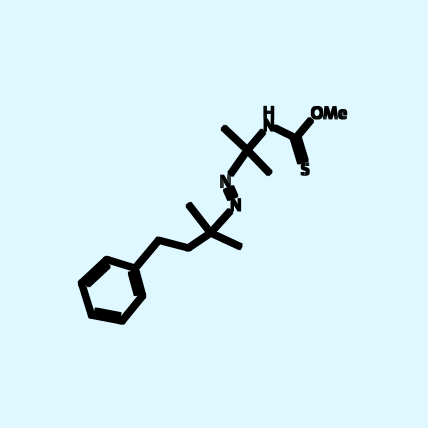 COC(=S)NC(C)(C)N=NC(C)(C)CCc1ccccc1